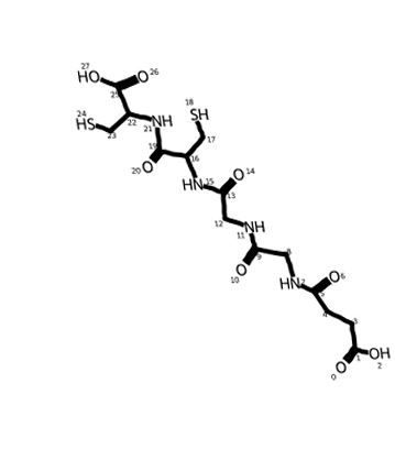 O=C(O)CCC(=O)NCC(=O)NCC(=O)NC(CS)C(=O)NC(CS)C(=O)O